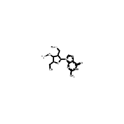 COCC1C(OP)C(CO)OC1n1cnc2c(=O)[nH]c(N)nc21